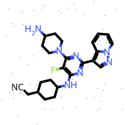 N#CCC1CCC(Nc2nc(-c3cnn4ccccc34)nc(N3CCC(N)CC3)c2F)CC1